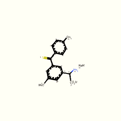 COc1cc(C(=S)c2ccc(C)cc2)cc(C(N)C(=O)O)c1.[NaH]